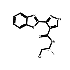 C[C@H](CO)NC(=O)c1c[nH]nc1-c1nc2ccccc2s1